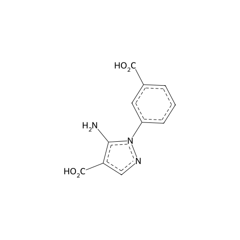 Nc1c(C(=O)O)cnn1-c1cccc(C(=O)O)c1